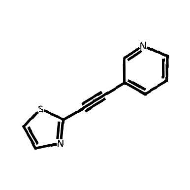 C(#Cc1nccs1)c1cccnc1